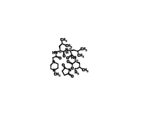 CC(C)C[C@H](NC(=O)CN1CCN(C)CC1)C(=O)N[C@@H](CC(C)C)C(=O)N[C@@H](CC(C)C)C(=O)ON1C(=O)CCC1=O